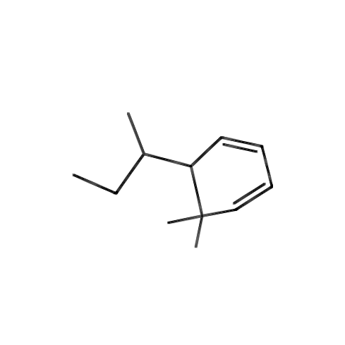 CCC(C)C1C=CC=CC1(C)C